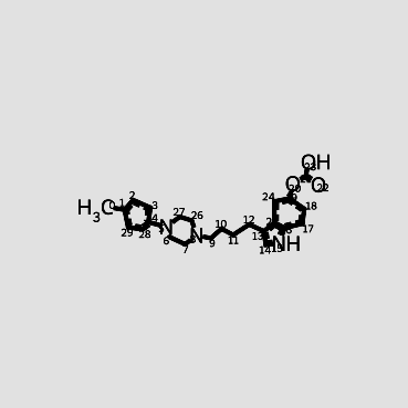 Cc1ccc(N2CCN(CCCCc3c[nH]c4ccc(OC(=O)O)cc34)CC2)cc1